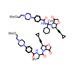 COCCN1CCN(c2ccc(C(=O)NC(C=O)(C3CCCCC3)N3CC(C#CC4CC4)C4OCC(=O)C43)cc2)CC1.COCCN1CCN(c2ccc(C(=O)NC(CC(C)C)C(=O)N3CC(C#CC4CC4)C4OCC(=O)C43)cc2)CC1